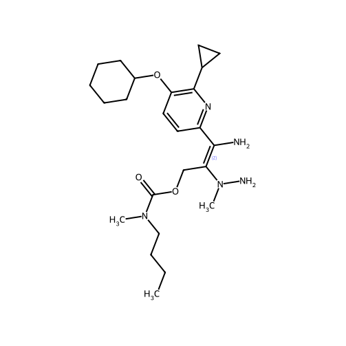 CCCCN(C)C(=O)OC/C(=C(/N)c1ccc(OC2CCCCC2)c(C2CC2)n1)N(C)N